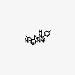 Cc1ccc(C(=O)Nc2nc3c(CC(C)N)cccc3[nH]2)cc1